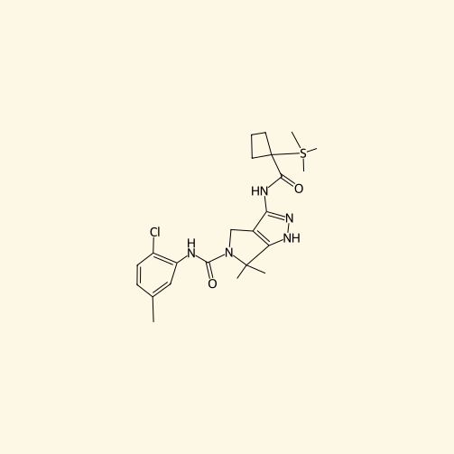 Cc1ccc(Cl)c(NC(=O)N2Cc3c(NC(=O)C4(S(C)(C)C)CCC4)n[nH]c3C2(C)C)c1